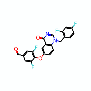 O=Cc1cc(F)c(Oc2ccc3c(c2)c(=O)ncn3Cc2ccc(F)cc2F)c(F)c1